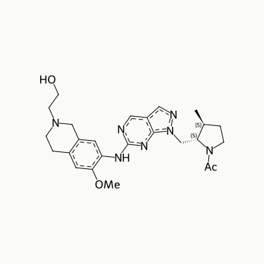 COc1cc2c(cc1Nc1ncc3cnn(C[C@@H]4[C@@H](C)CCN4C(C)=O)c3n1)CN(CCO)CC2